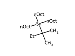 CCCCCCC[CH2][Sn]([CH2]CCCCCCC)([CH2]CCCCCCC)[C](C)(C)CC